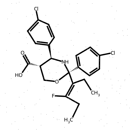 CC/C(F)=C(\CC)[C@]1(c2ccc(Cl)cc2)N[C@H](c2ccc(Cl)cc2)[C@@H](C(=O)O)CO1